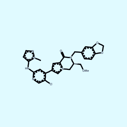 COC[C@H]1Cn2cc(-c3cc(Nc4ccnn4C)ncc3Cl)cc2C(=O)N1Cc1ccc2c(c1)OCO2